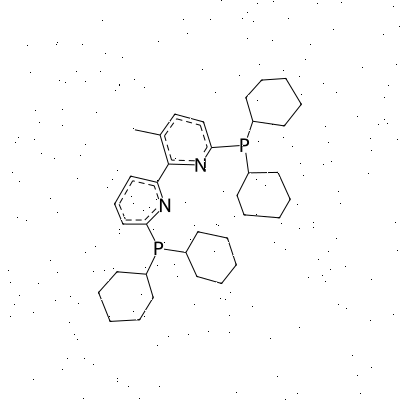 Cc1ccc(P(C2CCCCC2)C2CCCCC2)nc1-c1cccc(P(C2CCCCC2)C2CCCCC2)n1